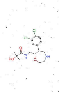 CC(C)(O)C(=O)NCC1OCCNCC1c1ccc(Cl)c(Cl)c1